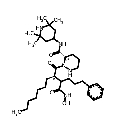 CCCCCCC[C@@H](C(=O)N1NCCC[C@H]1C(=O)NC1CC(C)(C)NC(C)(C)C1)C(CCCc1ccccc1)C(=O)NO